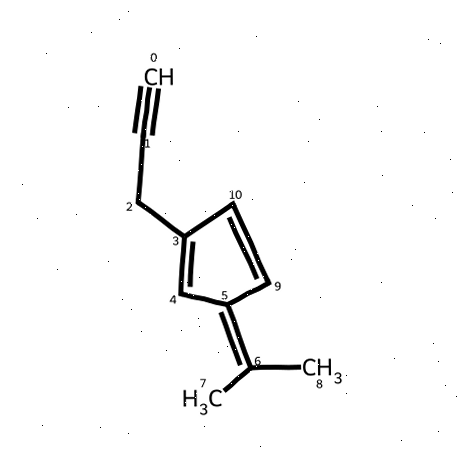 C#CCC1=CC(=C(C)C)C=C1